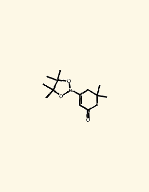 CC1(C)CC(=O)C=C(B2OC(C)(C)C(C)(C)O2)C1